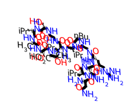 CCCC[C@H](NC(=O)CNC(=O)[C@H](CCCNC(=N)N)NC(=O)[C@H](CC(N)=O)NC(=O)[C@H](CC(C)C)NC(=O)[C@@H](N)CC(N)=O)C(=O)N[C@H](C(=O)N[C@@H](CC(C)C)C(=O)NCC(=O)N[C@@H](CO)C(=O)N[C@@H](CC(C)C)C(=O)N[C@@H](C)C(=O)N[C@@H](CO)C(=O)N[C@H](C(=O)O)[C@@H](C)O)C(C)C